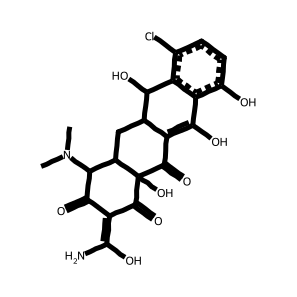 CN(C)C1C(=O)C(=C(N)O)C(=O)C2(O)C(=O)C3=C(O)c4c(O)ccc(Cl)c4C(O)C3CC12